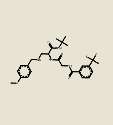 CSc1ccc(CNCC(NC(=O)CNC(=O)c2cccc(C(F)(F)F)c2)C(=O)NC(C)(C)C)cc1